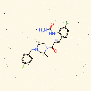 C[C@@H]1CN(C(=O)/C=C/c2ccc(Cl)cc2NC(N)=O)[C@@H](C)CN1Cc1ccc(F)cc1